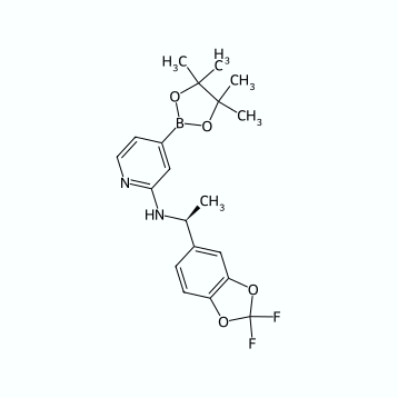 C[C@H](Nc1cc(B2OC(C)(C)C(C)(C)O2)ccn1)c1ccc2c(c1)OC(F)(F)O2